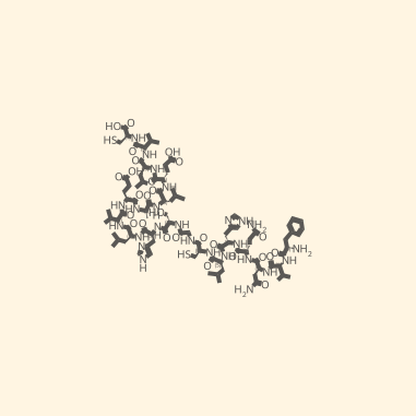 CC(C)C[C@H](NC(=O)[C@H](C)NC(=O)[C@H](CCC(=O)O)NC(=O)[C@@H](NC(=O)[C@H](CC(C)C)NC(=O)[C@H](Cc1c[nH]cn1)NC(=O)[C@H](CO)NC(=O)CNC(=O)[C@H](CS)NC(=O)[C@H](CC(C)C)NC(=O)[C@H](Cc1c[nH]cn1)NC(=O)[C@H](CCC(N)=O)NC(=O)[C@H](CC(N)=O)NC(=O)[C@@H](NC(=O)[C@@H](N)Cc1ccccc1)C(C)C)C(C)C)C(=O)N[C@@H](CCC(=O)O)C(=O)N[C@@H](CC(C)C)C(=O)N[C@H](C(=O)N[C@@H](CS)C(=O)O)C(C)C